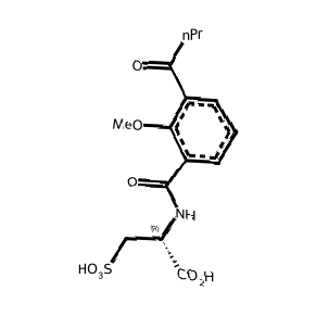 CCCC(=O)c1cccc(C(=O)N[C@@H](CS(=O)(=O)O)C(=O)O)c1OC